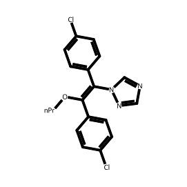 CCCOC(=C(c1ccc(Cl)cc1)n1cncn1)c1ccc(Cl)cc1